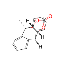 C[C@]12c3ccccc3[C@H](c3ccccc31)[C@H]1OC(=O)O[C@H]12